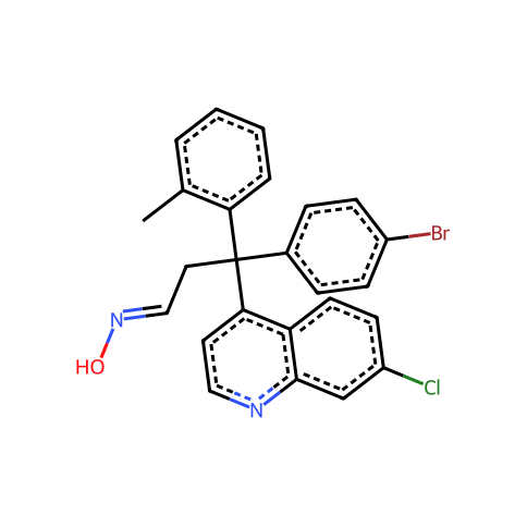 Cc1ccccc1C(CC=NO)(c1ccc(Br)cc1)c1ccnc2cc(Cl)ccc12